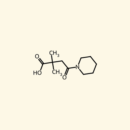 CC(C)(CC(=O)N1CCCCC1)C(=O)O